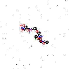 O=C(NC(c1cccc(F)c1)c1cccc(OCc2cccc(CCNC[C@@H](O)c3ccc(O)c4[nH]c(=O)ccc34)c2)c1)O[C@H]1C[N+]2(CC(=O)c3ccccc3)CCC1CC2